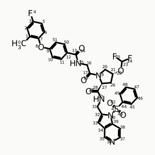 Cc1cc(F)ccc1Oc1ccc(C(=O)NCC(=O)N2C[C@H](OC(F)F)C[C@H]2C(=O)NCc2cc3cnccc3n2S(=O)(=O)c2ccccc2)cc1